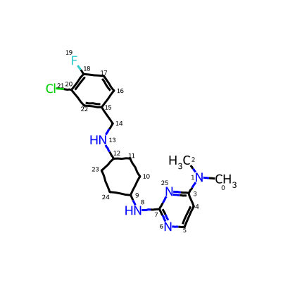 CN(C)c1ccnc(NC2CCC(NCc3ccc(F)c(Cl)c3)CC2)n1